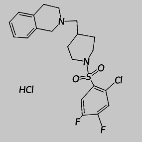 Cl.O=S(=O)(c1cc(F)c(F)cc1Cl)N1CCC(CN2CCc3ccccc3C2)CC1